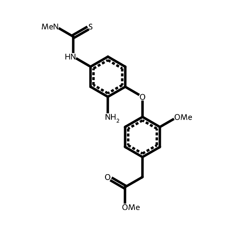 CNC(=S)Nc1ccc(Oc2ccc(CC(=O)OC)cc2OC)c(N)c1